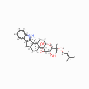 CC(C)=CCOC(C)(C)C1OC2CC[C@]3(C)[C@@]4(C)c5[nH]c6ccccc6c5CC4CC[C@@]3(O)C23OC3[C@@H]1O